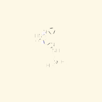 CN(C)CCCNc1ncc(/C=C2\S/C(=N\c3ccccc3)NC2=O)s1